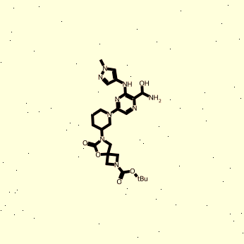 Cn1cc(Nc2nc(N3CCCC(N4CC5(CN(C(=O)OC(C)(C)C)C5)OC4=O)C3)cnc2C(N)O)cn1